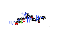 CNC(Cc1ccccc1)C(=O)NCc1ccc(NC(=O)C(CCCN)NC(=O)CNC(=O)CCCN2CCC(C(N)=O)CC2C(F)(F)F)cc1